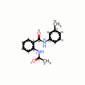 CC(=O)Nc1ccccc1C(=O)Nc1cccc(C)c1